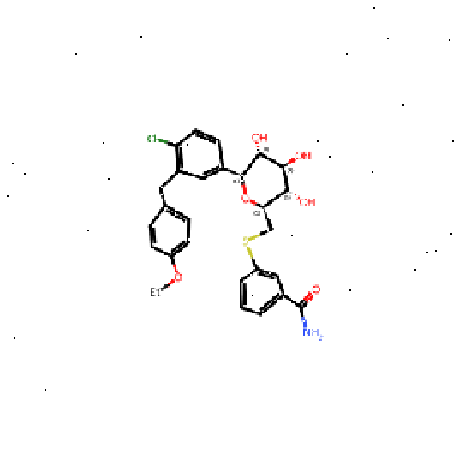 CCOc1ccc(Cc2cc([C@@H]3O[C@H](CSc4cccc(C(N)=O)c4)[C@@H](O)[C@H](O)[C@H]3O)ccc2Cl)cc1